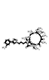 B[C@@H]1[C@@H](C)C(=O)[C@@H](C)C(=O)O[C@H](CC)[C@@]2(C)OC(=O)N(CCCCn3cc(-c4cccc(N)c4)nn3)[C@@H]2[C@@H](C=C)NC[C@H](C)C[C@@]1(C)OC